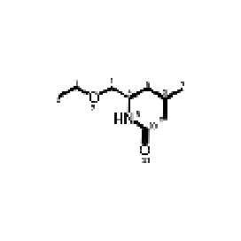 CCOC[C@@H](CC(C)C)NC=O